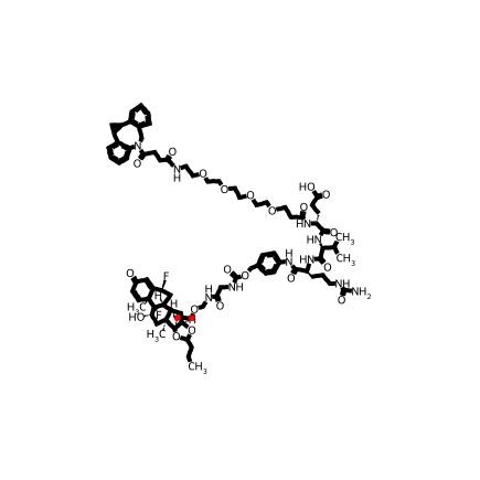 CCCC1O[C@@H]2C[C@H]3[C@@H]4C[C@H](F)C5=CC(=O)C=C[C@]5(C)[C@@]4(F)[C@@H](O)C[C@]3(C)[C@]2(C(=O)COCNC(=O)CNC(=O)OCc2ccc(NC(=O)[C@H](CCCNC(N)=O)NC(=O)[C@@H](NC(=O)[C@@H](CCC(=O)O)NC(=O)CCOCCOCCOCCOCCNC(=O)CCC(=O)N3Cc4ccccc4C4=CC4c4ccccc43)C(C)C)cc2)O1